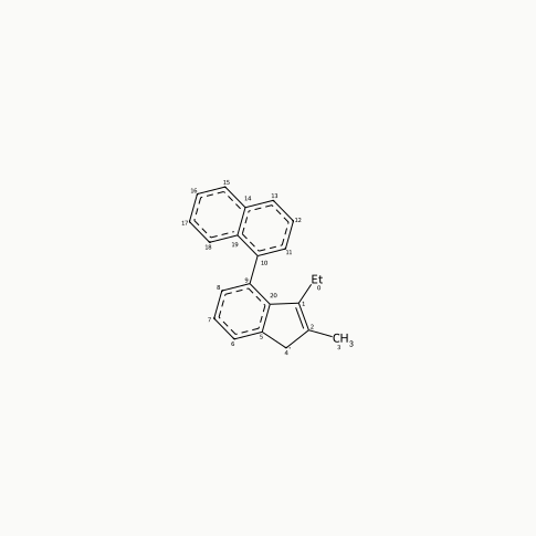 CCC1=C(C)[CH]c2cccc(-c3cccc4ccccc34)c21